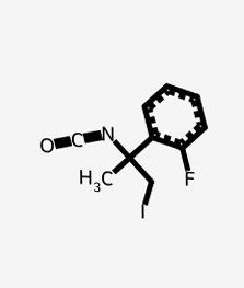 CC(CI)(N=C=O)c1ccccc1F